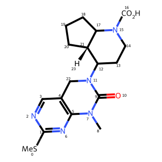 CSc1ncc2c(n1)N(C)C(=O)N(C1CCN(C(=O)O)C3CCC[C@H]31)C2